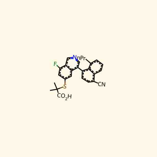 CCCc1cccc2c(C#N)ccc(-c3cncc4c(F)cc(SC(C)(C)C(=O)O)cc34)c12